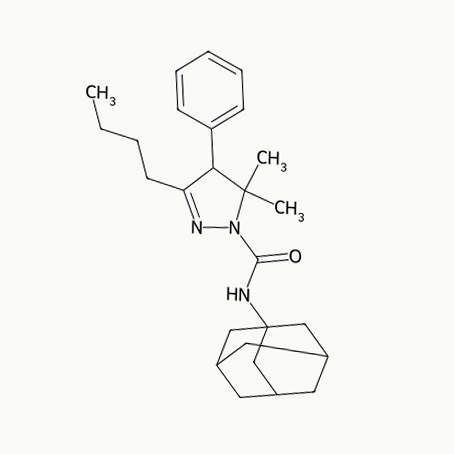 CCCCC1=NN(C(=O)NC23CC4CC(CC(C4)C2)C3)C(C)(C)C1c1ccccc1